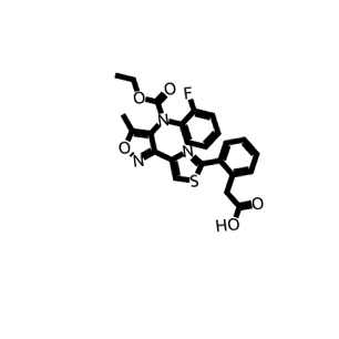 CCOC(=O)N(c1ccccc1F)c1c(-c2csc(-c3ccccc3CC(=O)O)n2)noc1C